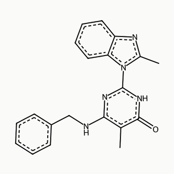 Cc1c(NCc2ccccc2)nc(-n2c(C)nc3ccccc32)[nH]c1=O